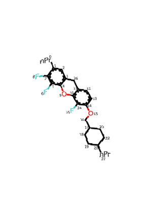 CCCc1cc2c(c(F)c1F)Oc1c(ccc(OCC3CCC(CCC)CC3)c1F)C2